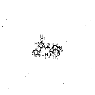 C[C@@H]1CN(CC(=O)N2CC(C)(C)c3c2ccc2n[nH]c(=O)n32)[C@@H](CN2CCOC[C@H]2C)CN1